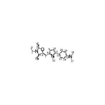 CCN1C(=S)O/C(=C\c2ccc(-c3ccc(N(C)C)cc3)n2C)C1=S